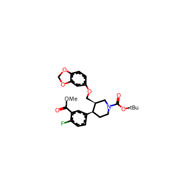 COC(=O)c1cc([C@@H]2CCN(C(=O)OC(C)(C)C)C[C@@H]2COc2ccc3c(c2)OCO3)ccc1F